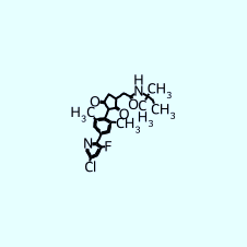 CCC(C)(C)NC(=O)CC1CC(=O)C(c2c(C)cc(-c3ncc(Cl)cc3F)cc2C)C1=O